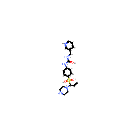 C=CC(N1CCNCC1)S(=O)(=O)c1ccc(NC(=O)NCc2cccnc2)cc1